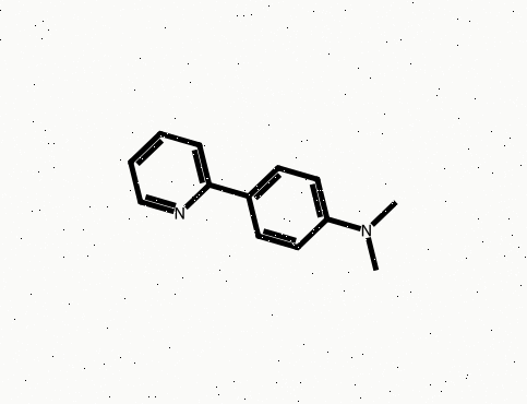 CN(C)c1ccc(-c2ccccn2)cc1